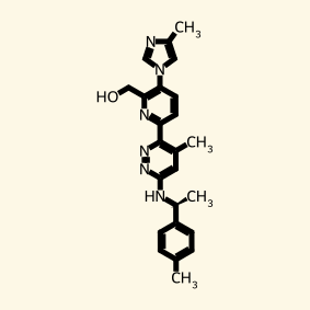 Cc1ccc([C@H](C)Nc2cc(C)c(-c3ccc(-n4cnc(C)c4)c(CO)n3)nn2)cc1